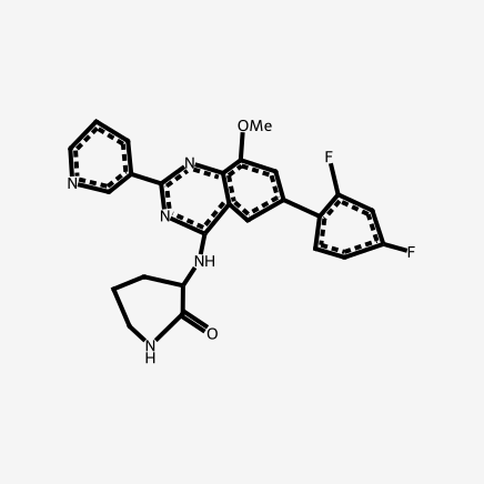 COc1cc(-c2ccc(F)cc2F)cc2c(NC3CCCNC3=O)nc(-c3cccnc3)nc12